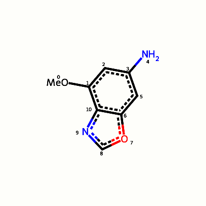 COc1cc(N)cc2ocnc12